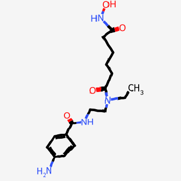 CCN(CCNC(=O)c1ccc(N)cc1)C(=O)CCCCC(=O)NO